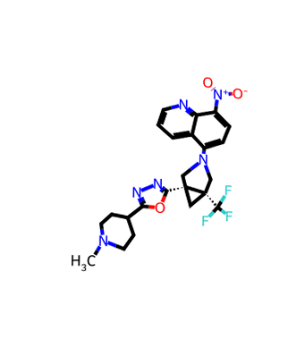 CN1CCC(c2nnc([C@]34CN(c5ccc([N+](=O)[O-])c6ncccc56)C[C@@]3(C(F)(F)F)C4)o2)CC1